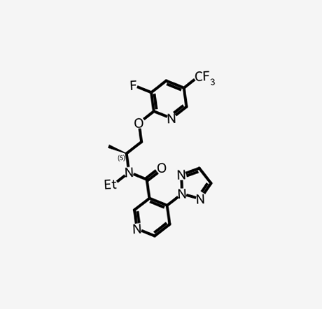 CCN(C(=O)c1cnccc1-n1nccn1)[C@@H](C)COc1ncc(C(F)(F)F)cc1F